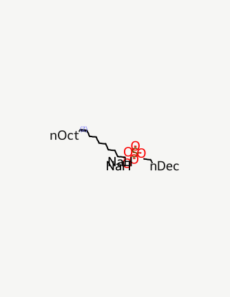 CCCCCCCC/C=C\CCCCCCCC(=O)OS(=O)(=O)OCCCCCCCCCCCC.[NaH].[NaH]